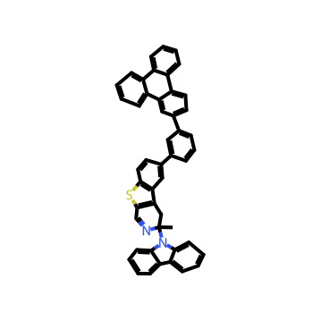 CC1(n2c3ccccc3c3ccccc32)Cc2c(sc3ccc(-c4cccc(-c5ccc6c7ccccc7c7ccccc7c6c5)c4)cc23)C=N1